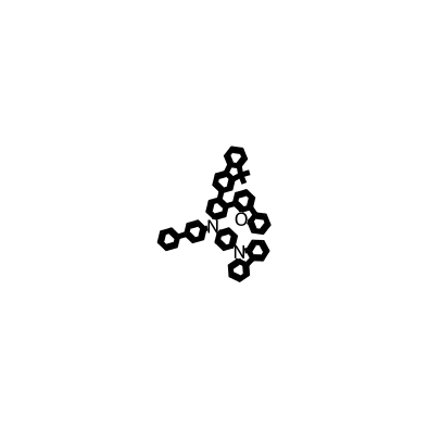 CC1(C)c2ccccc2-c2ccc(-c3ccc(N(c4ccc(-c5ccccc5)cc4)c4ccc(-n5c6ccccc6c6ccccc65)cc4)cc3-c3cccc4c3oc3ccccc34)cc21